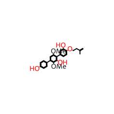 C=C(C)CCOc1ccc(-c2c(OC)cc(-c3ccc(O)cc3)c(OC)c2O)cc1O